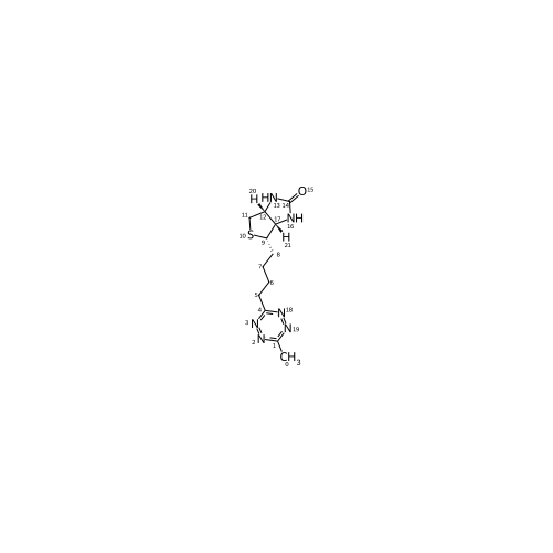 Cc1nnc(CCCC[C@@H]2SC[C@@H]3NC(=O)N[C@@H]32)nn1